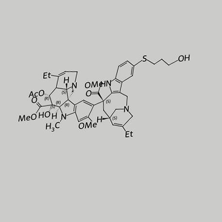 CCC1=C[C@H]2CN(C1)Cc1c([nH]c3ccc(SCCCO)cc13)[C@@](C(=O)OC)(c1cc3c(cc1OC)N(C)[C@H]1[C@@](O)(C(=O)OC)[C@H](OC(C)=O)C4C(CC)=CCN5CC[C@]31[C@H]45)C2